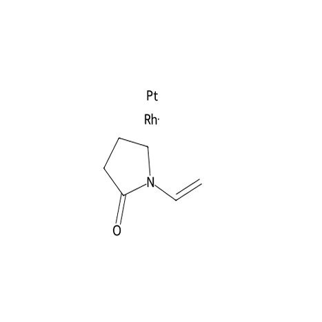 C=CN1CCCC1=O.[Pt].[Rh]